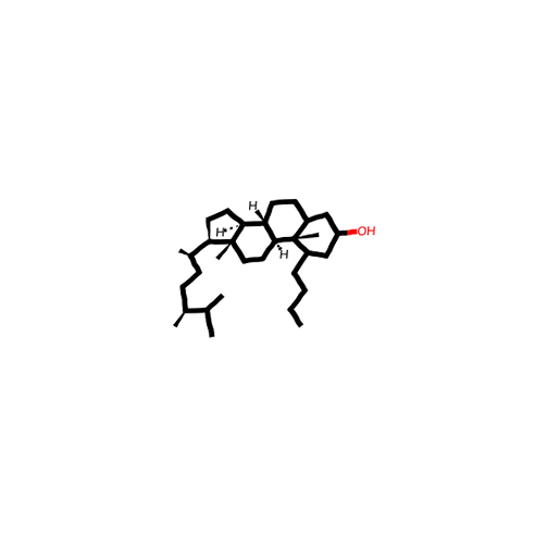 CCCCC1CC(O)CC2CC[C@@H]3[C@H](CC[C@]4(C)[C@@H]([C@H](C)CC[C@H](C)C(C)C)CC[C@@H]34)[C@@]12C